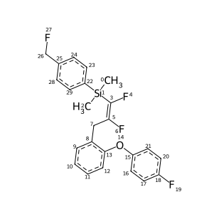 C[Si](C)(C(F)=C(F)Cc1ccccc1Oc1ccc(F)cc1)c1ccc(CF)cc1